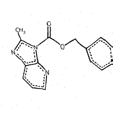 Cc1nc2cccnc2n1C(=O)OCc1ccccc1